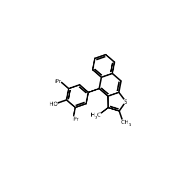 Cc1sc2cc3ccccc3c(-c3cc(C(C)C)c(O)c(C(C)C)c3)c2c1C